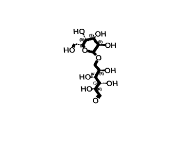 O=C[C@H](O)[C@@H](O)[C@H](O)[C@H](O)COC1O[C@H](CO)[C@H](O)[C@H](O)[C@H]1O